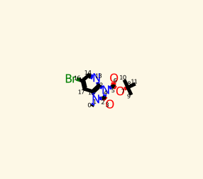 Cn1c(=O)n(C(=O)OC(C)(C)C)c2ncc(Br)cc21